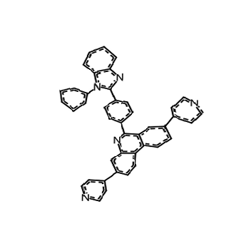 c1ccc(-n2c(-c3ccc(-c4nc5cc(-c6ccncc6)ccc5c5ccc(-c6ccncc6)cc45)cc3)nc3ccccc32)cc1